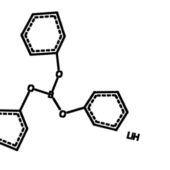 [LiH].c1ccc(OB(Oc2ccccc2)Oc2ccccc2)cc1